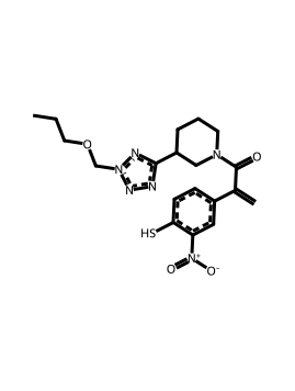 C=C(C(=O)N1CCCC(c2nnn(COCCC)n2)C1)c1ccc(S)c([N+](=O)[O-])c1